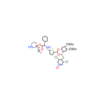 COc1ccc(C(Cc2c(Cl)c[n+]([O-])cc2Cl)OC(=O)c2ccc(CN[C@H](C(=O)O[C@]3(C)CCCNC3)c3ccccc3)s2)cc1OC